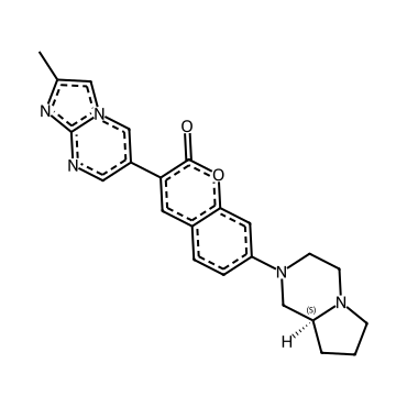 Cc1cn2cc(-c3cc4ccc(N5CCN6CCC[C@H]6C5)cc4oc3=O)cnc2n1